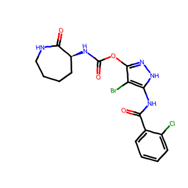 O=C(N[C@H]1CCCCNC1=O)Oc1n[nH]c(NC(=O)c2ccccc2Cl)c1Br